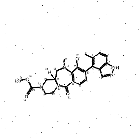 Cc1ccc2[nH]ncc2c1-c1ccc2c(c1Cl)N(C)C[C@H]1CN(C(=O)OC(C)(C)C)CCN1C2=O